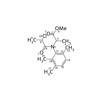 COC(=O)C(C)N(C(=O)C(C)Cl)c1c(C)ccc(C)c1C